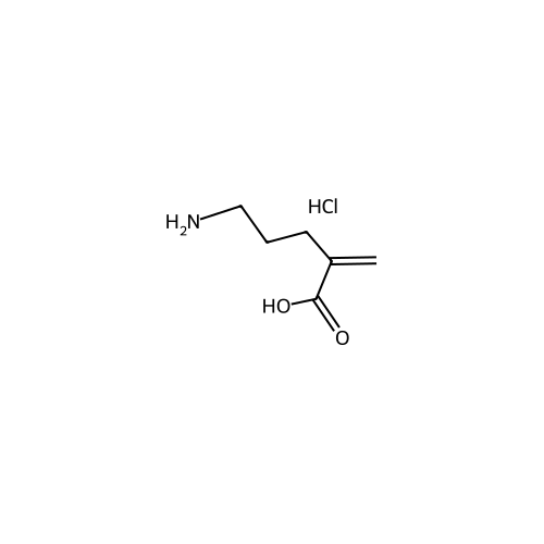 C=C(CCCN)C(=O)O.Cl